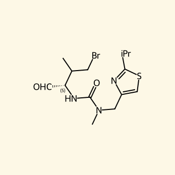 CC(C)c1nc(CN(C)C(=O)N[C@H](C=O)C(C)CBr)cs1